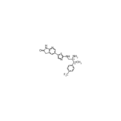 C[C@@H](c1ccc(C(F)(F)F)cc1)[C@H](N)CNc1ncc(-c2cnc3c(c2)CC(=O)N3)s1